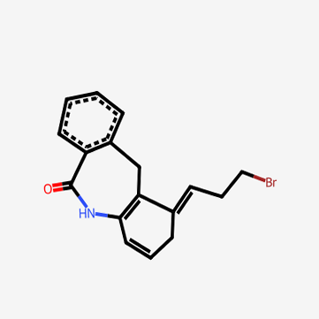 O=C1NC2=C(Cc3ccccc31)C(=CCCBr)CC=C2